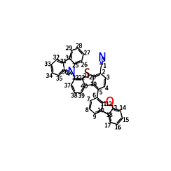 N#Cc1ccc(-c2cccc3c2oc2ccccc23)c2c1sc1c(-n3c4ccccc4c4ccccc43)cccc12